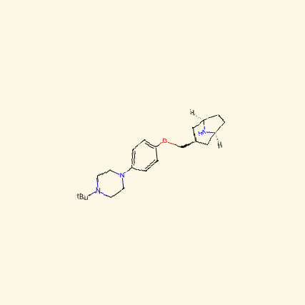 CC(C)(C)N1CCN(c2ccc(OC[C@H]3C[C@H]4CC[C@@H](C3)N4)cc2)CC1